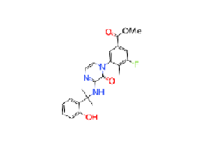 COC(=O)c1cc(F)c(C)c(-n2ccnc(NC(C)(C)c3ccccc3O)c2=O)c1